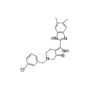 Cc1cc2nc(-c3[nH]nc4c3CCN(Cc3cccc(Cl)c3)C4)[nH]c2cc1C